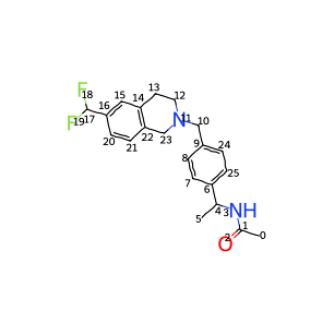 CC(=O)NC(C)c1ccc(CN2CCc3cc(C(F)F)ccc3C2)cc1